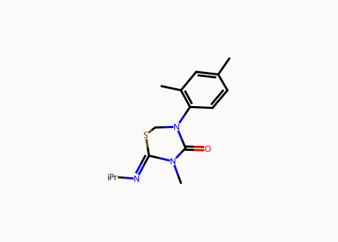 Cc1ccc(N2CSC(=NC(C)C)N(C)C2=O)c(C)c1